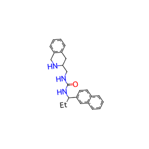 CCC(NC(=O)NCC1Cc2ccccc2CN1)c1ccc2ccccc2c1